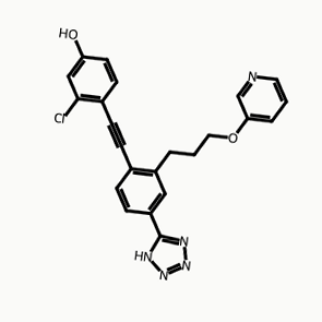 Oc1ccc(C#Cc2ccc(-c3nnn[nH]3)cc2CCCOc2cccnc2)c(Cl)c1